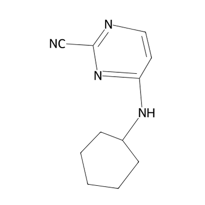 N#Cc1nccc(NC2CCCCC2)n1